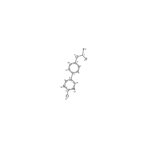 FC(F)Oc1ccc(-c2cnc(Cl)nc2)cc1